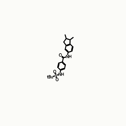 CC1Cc2cc(NC(=O)c3ccc(NS(=O)(=O)C(C)(C)C)cc3)ccc2C1C